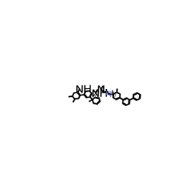 CC1CC(N)=C(C2=CC(C3(C)C=CC=CC3)=C(NCN(C)C/C=C/[C@@]3(C)CC=C(c4cccc(-c5ccccc5)c4)CC3C)CC2)CC1C